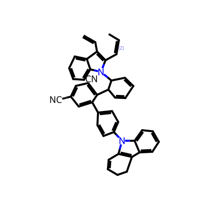 C=Cc1c(/C=C\C)n(C2C=CC=CC2c2c(C#N)cc(C#N)cc2-c2ccc(-n3c4c(c5ccccc53)CCC=C4)cc2)c2ccccc12